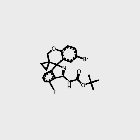 CC(C)(C)OC(=O)NC1=NC2(c3cc(Br)ccc3OCC23CC3)c2cccc(F)c21